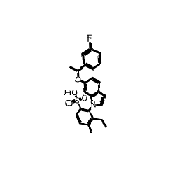 CCc1c(C)ccc(S(=O)(=O)O)c1-n1ccc2ccc(OC(C)c3cccc(F)c3)cc21